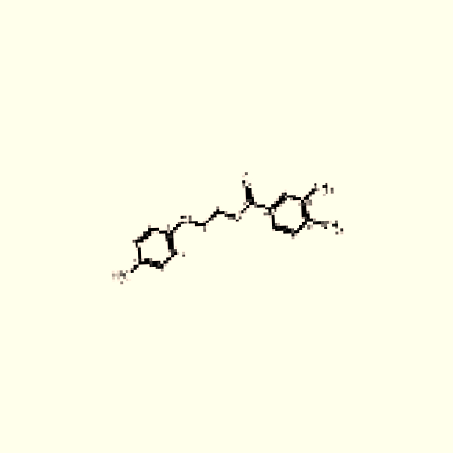 Cc1ccc(OCCOC(=O)c2ccc(C)c(C)c2)cc1